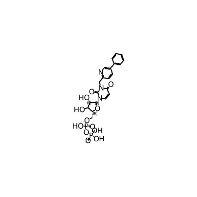 O=c1ccn([C@@H]2O[C@H](COP(=O)(O)OP(=O)(O)O)C(O)[C@@H]2O)c(=O)n1Cc1ccc(-c2ccccc2)cn1